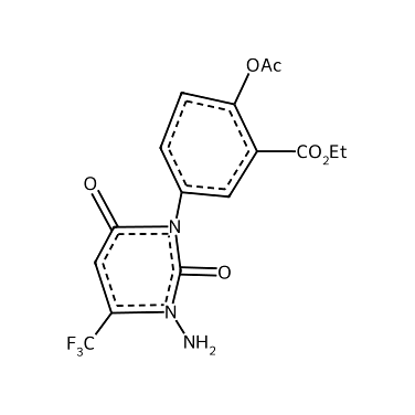 CCOC(=O)c1cc(-n2c(=O)cc(C(F)(F)F)n(N)c2=O)ccc1OC(C)=O